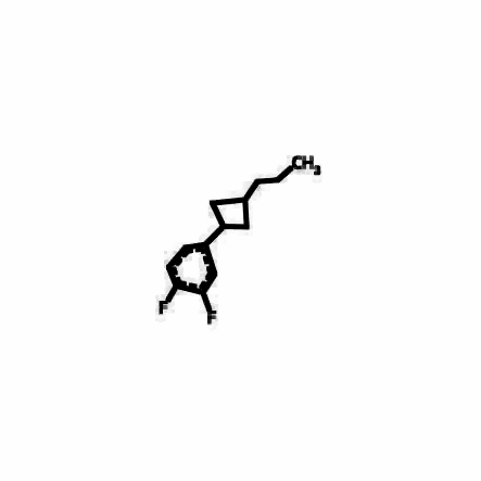 CCCC1CC(c2ccc(F)c(F)c2)C1